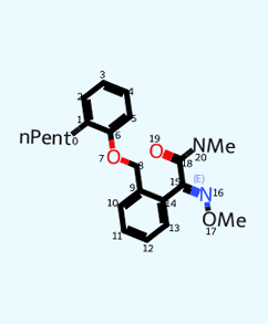 CCCCCc1ccccc1OCc1ccccc1/C(=N\OC)C(=O)NC